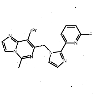 CCCc1c(Cn2ccnc2-c2cccc(F)n2)nc(C)n2ccnc12